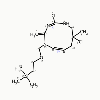 C=C1/N=C(/Cl)NCC(C)(Cl)C/C=C\N1COCC[Si](C)(C)C